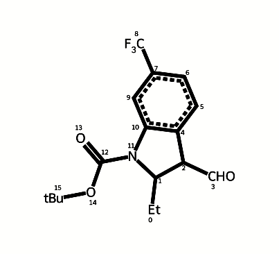 CCC1C(C=O)c2ccc(C(F)(F)F)cc2N1C(=O)OC(C)(C)C